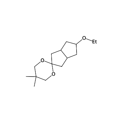 CCOC1CC2CC3(CC2C1)OCC(C)(C)CO3